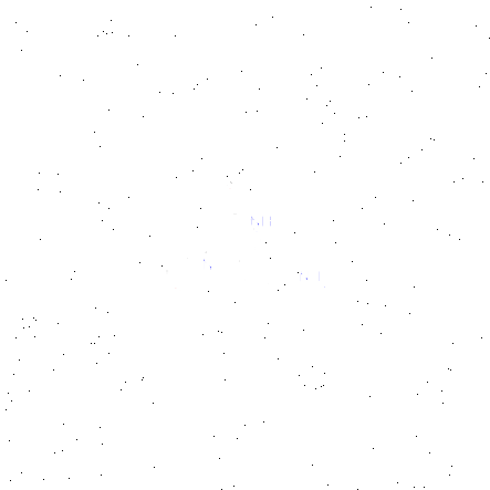 Nc1ccc2c(N3CCOCC3)cc(=O)[nH]c2c1